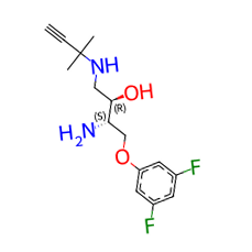 C#CC(C)(C)NC[C@@H](O)[C@@H](N)COc1cc(F)cc(F)c1